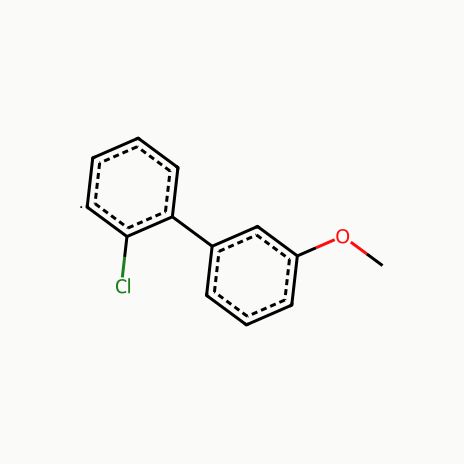 COc1cccc(-c2ccc[c]c2Cl)c1